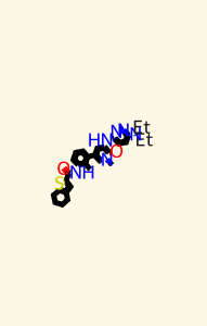 CCN(CC)c1ccc(Nc2cc(-c3cccc(NC(=O)c4cc5c(s4)CCCC5)c3C)cn(C)c2=O)nn1